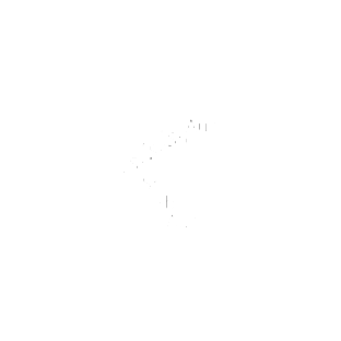 [Au+3].[Au+3].[S-2].[S-2].[S-2].[Sb].[Sb]